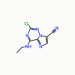 CCNc1nc(Cl)nn2c(C#N)cnc12